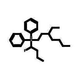 CCCCC(CC)CC[PH](c1ccccc1)(c1ccccc1)C(F)CCC